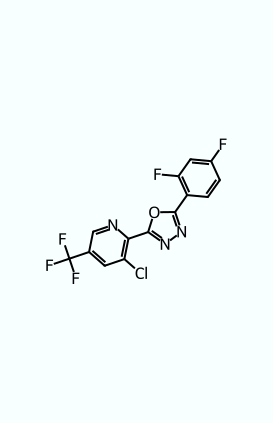 Fc1ccc(-c2nnc(-c3ncc(C(F)(F)F)cc3Cl)o2)c(F)c1